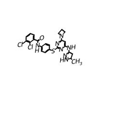 CC1CC(Nc2cc(N3CCC3)nc(Sc3ccc(NC(=O)c4cccc(Cl)c4Cl)cc3)n2)=NN1